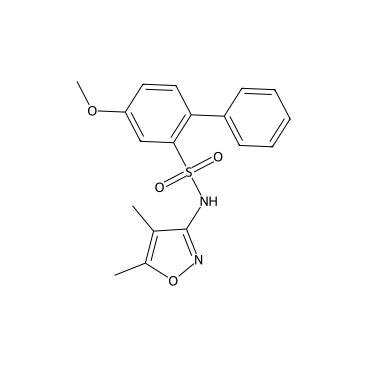 COc1ccc(-c2ccccc2)c(S(=O)(=O)Nc2noc(C)c2C)c1